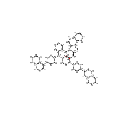 c1ccc(N(c2ccc(-c3ccc(-c4ccc5ccccc5c4)cc3)cc2)c2ccc(-c3cccc4ccccc34)cc2)c(-c2cccc3oc4c5ccccc5ccc4c23)c1